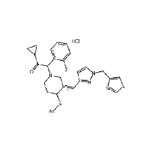 CC(=O)SC1CCN(C(C(=O)C2CC2)c2ccccc2F)C/C1=C\c1ccn(Cc2cscn2)n1.Cl